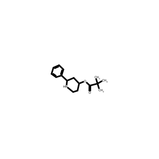 CC(C)(C)C(=O)OC1CCNC(c2ccccc2)C1